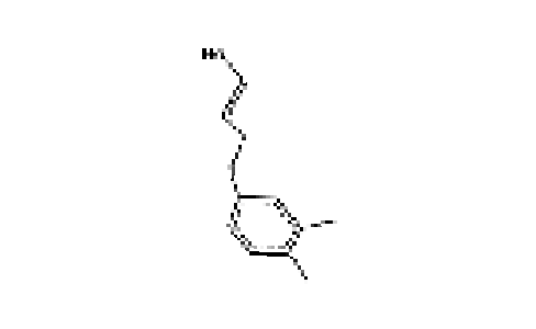 Cc1ccc(NCC=CO)cc1C